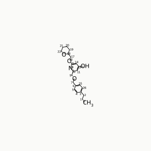 CCCc1ccc(COCc2cc(O)cc(OCC3CCCCO3)n2)cc1